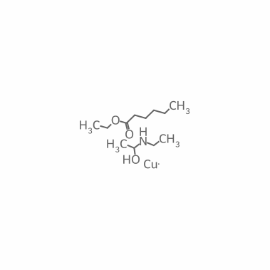 CCCCCC(=O)OCC.CCNC(C)O.[Cu]